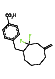 C=C1CCCCC(Cc2ccc(C(=O)O)cc2)C(F)(F)C1